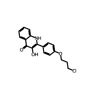 O=c1c(O)c(-c2ccc(OCCCCl)cc2)[nH]c2ccccc12